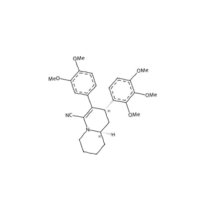 COc1ccc(C2=C(C#N)N3CCCC[C@@H]3C[C@H]2c2ccc(OC)c(OC)c2OC)cc1OC